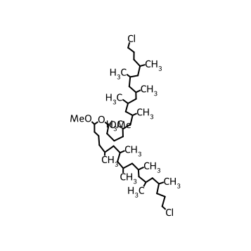 COC(CCCC(C)CC(C)CC(C)CC(C)CC(C)CC(C)CCCCl)OC(CCCC(C)CC(C)CC(C)CC(C)CC(C)CC(C)CCCCl)OC